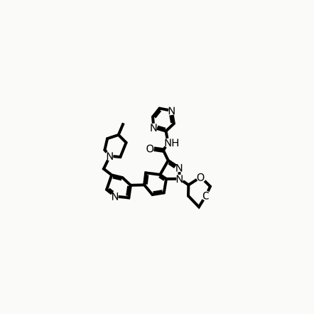 CC1CCN(Cc2cncc(-c3ccc4c(c3)c(C(=O)Nc3cnccn3)nn4C3CCCCO3)c2)CC1